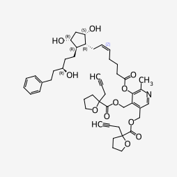 C#CCC1(C(=O)OCc2cnc(C)c(OC(=O)CCC/C=C\C[C@@H]3[C@@H](CC[C@@H](O)CCc4ccccc4)[C@H](O)C[C@@H]3O)c2COC(=O)C2(CC#C)CCCO2)CCCO1